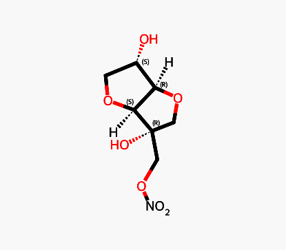 O=[N+]([O-])OC[C@]1(O)CO[C@@H]2[C@@H](O)CO[C@@H]21